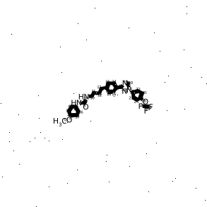 COc1ccc(NC(=O)NCCCCc2ccc(-c3ncn(-c4ccc(OC(F)(F)F)cc4)n3)cc2)cc1